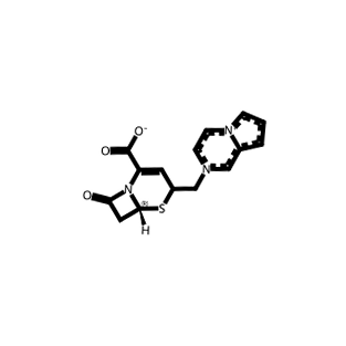 O=C([O-])C1=CC(Cn2cc[n+]3cccc-3c2)S[C@@H]2CC(=O)N12